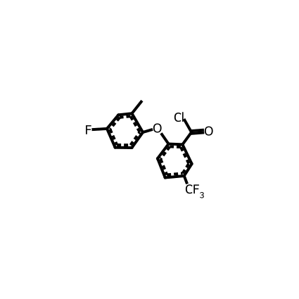 Cc1cc(F)ccc1Oc1ccc(C(F)(F)F)cc1C(=O)Cl